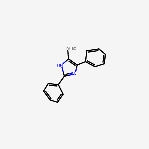 CCCCCCc1[nH]c(-c2ccccc2)nc1-c1ccccc1